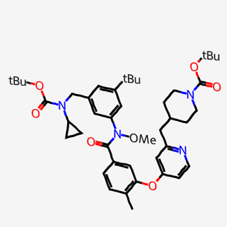 CON(C(=O)c1ccc(C)c(Oc2ccnc(CC3CCN(C(=O)OC(C)(C)C)CC3)c2)c1)c1cc(CN(C(=O)OC(C)(C)C)C2CC2)cc(C(C)(C)C)c1